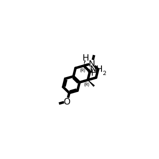 COc1ccc2c(c1)[C@@]1(C)CCN(C)[C@H](C2)[C@H]1N